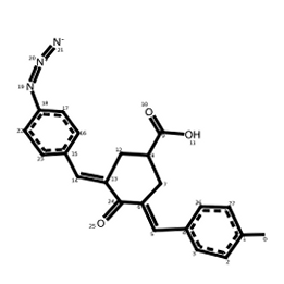 Cc1ccc(C=C2CC(C(=O)O)CC(=Cc3ccc(N=[N+]=[N-])cc3)C2=O)cc1